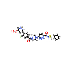 O=C(NSCc1ccccc1)c1ccc(N2CCN(C(=O)c3ccc(-c4cncc(O)c4)c(F)c3)CC2)nn1